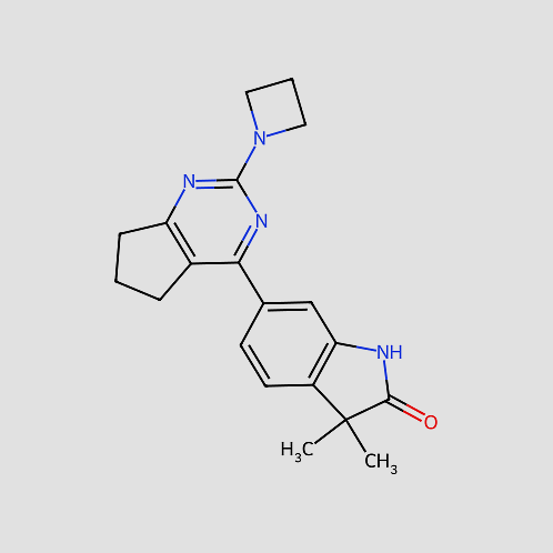 CC1(C)C(=O)Nc2cc(-c3nc(N4CCC4)nc4c3CCC4)ccc21